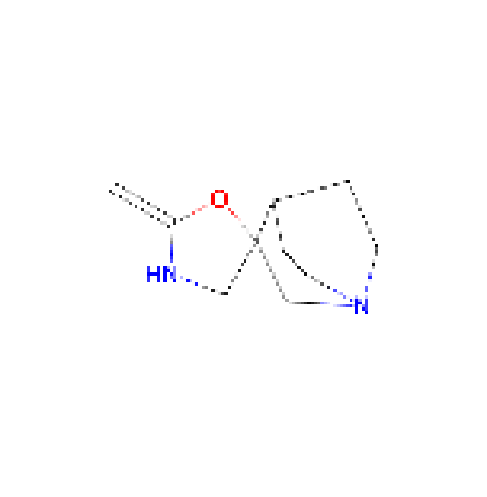 C=C1NCC2(CN3CCC2CC3)O1